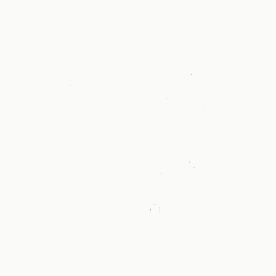 O=C(Cl)CC(C1CC1)C1CC1